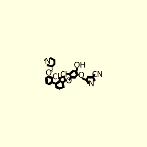 CN1CCC[C@H](COc2cccc(-c3cccc4c3CC[C@H]4Oc3cc(OCc4cncc(C#N)c4)c(CO)cc3Cl)c2Cl)C1